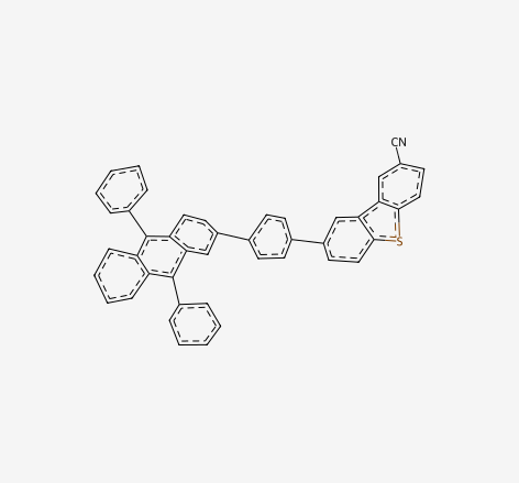 N#Cc1ccc2sc3ccc(-c4ccc(-c5ccc6c(-c7ccccc7)c7ccccc7c(-c7ccccc7)c6c5)cc4)cc3c2c1